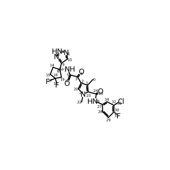 Cc1c(C(=O)C(=O)N[C@@]2(c3cn[nH]n3)CCC(F)(F)C2)cn(C)c1C(=O)Nc1ccc(F)c(Cl)c1